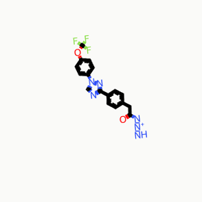 N=[N+]=NC(=O)Cc1ccc(-c2ncn(-c3ccc(OC(F)(F)F)cc3)n2)cc1